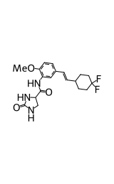 COc1ccc(/C=C/C2CCC(F)(F)CC2)cc1NC(=O)C1CNC(=O)N1